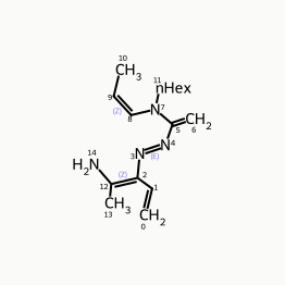 C=CC(/N=N/C(=C)N(/C=C\C)CCCCCC)=C(\C)N